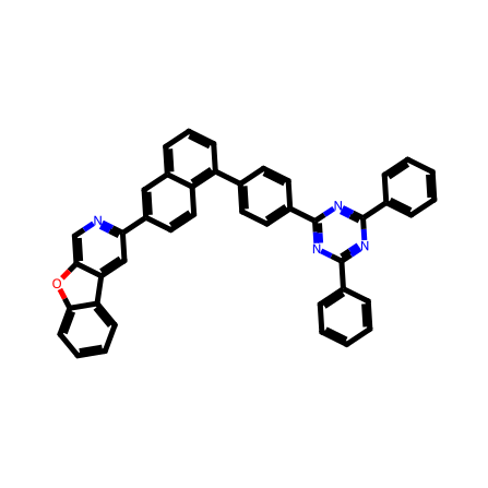 c1ccc(-c2nc(-c3ccccc3)nc(-c3ccc(-c4cccc5cc(-c6cc7c(cn6)oc6ccccc67)ccc45)cc3)n2)cc1